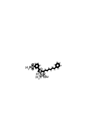 CC(C)(C)[Si](C)(C)OC(CCCCCCc1ccccc1)c1ncc(-c2cccc(S(N)(=O)=O)c2)o1